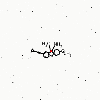 COC1CCC2(CC1)Cc1ccc(C#CC3CC3)cc1C21N=C(C)C(N)=N1